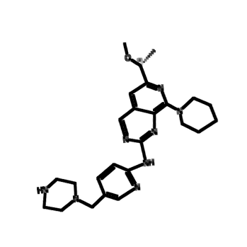 CO[C@H](C)c1cc2cnc(Nc3ccc(CN4CCNCC4)cn3)nc2c(N2CCCCC2)n1